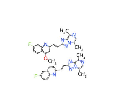 COc1cc(/C=C/c2nc3c(C)ncc(C)n3n2)nc2cc(F)ccc12.Cc1ncc(C)n2nc(/C=C/c3ccc4cc(F)ccc4n3)nc12